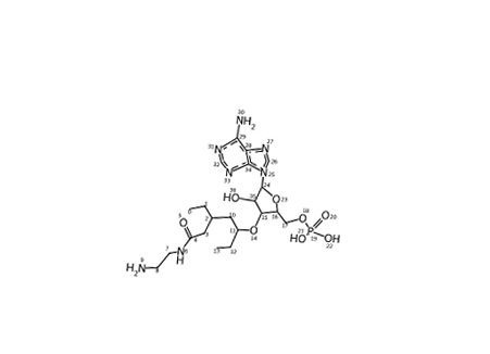 CCC(CC(=O)NCCN)CC(CC)OC1C(COP(=O)(O)O)OC(n2cnc3c(N)ncnc32)C1O